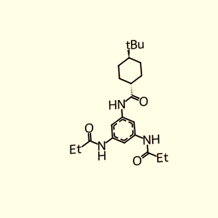 CCC(=O)Nc1cc(NC(=O)CC)cc(NC(=O)[C@H]2CC[C@H](C(C)(C)C)CC2)c1